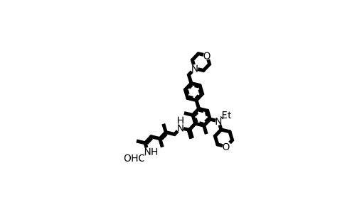 C=C(NC/C(C)=C(C)/C=C(/C)NC=O)c1c(C)c(-c2ccc(CN3CCOCC3)cc2)cc(N(CC)C2CCOCC2)c1C